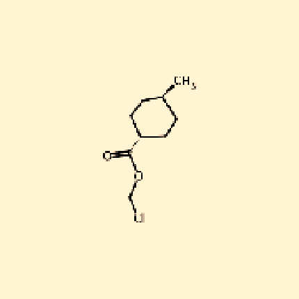 C[C@H]1CC[C@H](C(=O)OCCl)CC1